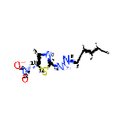 CCCCC/N=N/c1ncc([N+](=O)[O-])s1